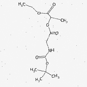 CCOC(=O)C(C)OC(=O)CNC(=O)OC(C)(C)C